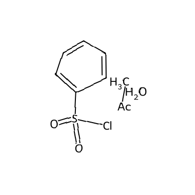 CC(C)=O.O.O=S(=O)(Cl)c1ccccc1